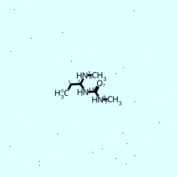 CC[C](NC)NC(=O)NC